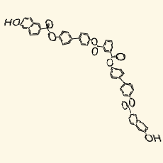 O=C(Oc1ccc(-c2ccc(OC(=O)c3ccc4cc(O)ccc4c3)cc2)cc1)c1cccc(C(=O)Oc2ccc(-c3ccc(OC(=O)c4ccc5cc(O)ccc5c4)cc3)cc2)c1